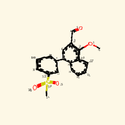 COc1c(C=O)cc(-c2cccc(S(C)(=O)=O)c2)c2ccccc12